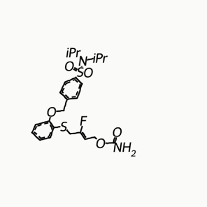 CC(C)N(C(C)C)S(=O)(=O)c1ccc(COc2ccccc2SCC(F)=CCOC(N)=O)cc1